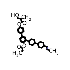 C=CC(=O)Oc1ccc(-c2ccc(OC(=O)C(=C)CO)cc2)cc1C1CCC(C2CCC(/C=C/C)CC2)CC1